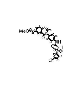 COOSc1ccc2nc(C)n(-c3ccc(NC(=O)NS(=O)(=O)c4ccc(Cl)s4)cc3)c(=O)c2c1